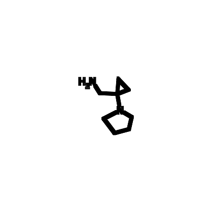 NCC1(N2CCCC2)CC1